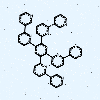 c1cncc(-c2cccc(-c3cc(-c4cccc(-c5cccnc5)n4)c(-c4cccc(-c5cccnc5)n4)cc3-c3cccc(-c4cccnc4)n3)n2)c1